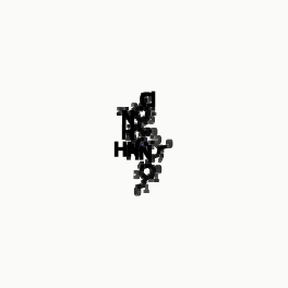 C=Cc1ccc(C(CC(C)C)N/C=C2\C(=N)C=CC(c3ccc(Cl)cc3NC)=C2C)cc1